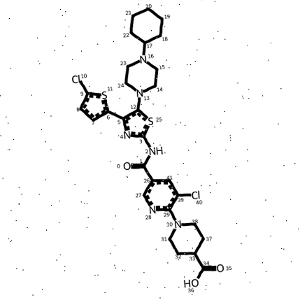 O=C(Nc1nc(-c2ccc(Cl)s2)c(N2CCN(C3CCCCC3)CC2)s1)c1cnc(N2CCC(C(=O)O)CC2)c(Cl)c1